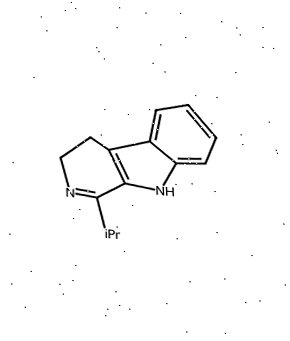 CC(C)C1=NCCc2c1[nH]c1ccccc21